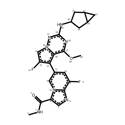 CNC(=O)c1cnc2c(F)cc(-c3c(F)cn4nc(NC5CC6CC6C5)nc(OC)c34)cn12